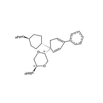 CCCCCCC[C@H]1CO[C@H](C2([C@H]3CC[C@H](CCCCC)CC3)C=CC(c3ccccc3)=CC2)CO1